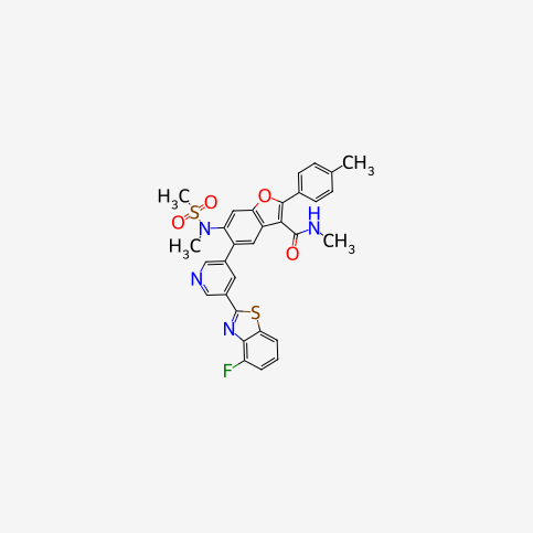 CNC(=O)c1c(-c2ccc(C)cc2)oc2cc(N(C)S(C)(=O)=O)c(-c3cncc(-c4nc5c(F)cccc5s4)c3)cc12